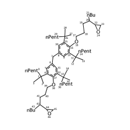 CCCCCC(C)(C)c1cc(Cc2cc(C(C)(C)CCCCC)c(OCCCC(CCCC)C3CO3)c(C(C)(C)CCCCC)c2)cc(C(C)(C)CCCCC)c1OCCCC(CCCC)C1CO1